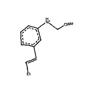 CCC=Cc1cccc([SiH2]COC)c1